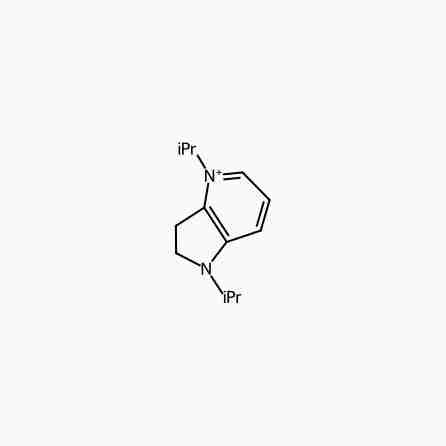 CC(C)N1CCc2c1ccc[n+]2C(C)C